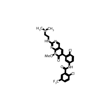 COn1c(=O)c(-c2cc(NC(=O)c3cc(C(F)(F)F)ccc3Cl)ccc2Cl)cc2cnc(NCCN(C)C)nc21